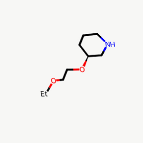 CCOCCO[C@H]1CCCNC1